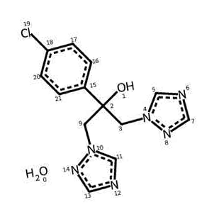 O.OC(Cn1cncn1)(Cn1cncn1)c1ccc(Cl)cc1